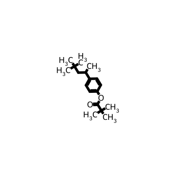 CC(CC(C)(C)C)c1ccc(OC(=O)C(C)(C)C)cc1